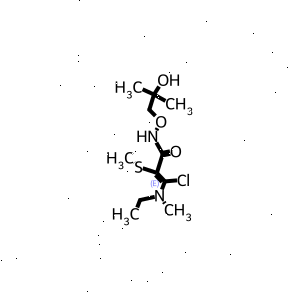 CCN(C)/C(Cl)=C(\SC)C(=O)NOCC(C)(C)O